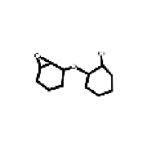 OC1CCCCC1OC1CCCC2OC12